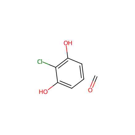 C=O.Oc1cccc(O)c1Cl